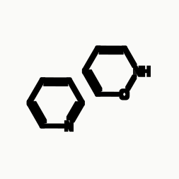 C1=CNOC=C1.c1ccncc1